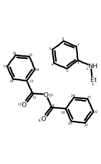 CCNc1ccccc1.O=C(OC(=O)c1ccccc1)c1ccccc1